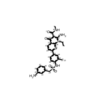 CCn1c(N)c(C(=O)NC)c(=O)c2ccc(-c3ccc(NS(=O)(=O)Cc4cccc(N)c4)c(F)c3)nc21